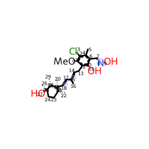 COc1c(Cl)c(C)c(/C=N/O)c(O)c1C/C=C(C)/C=C/[C@@]1(C)[C@H](C)CC[C@@](C)(O)[C@@H]1C